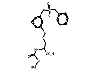 CC(C)(C)OC(=O)NC(CSSc1cccc(CS(=O)(=O)Cc2ccccc2)c1)C(=O)O